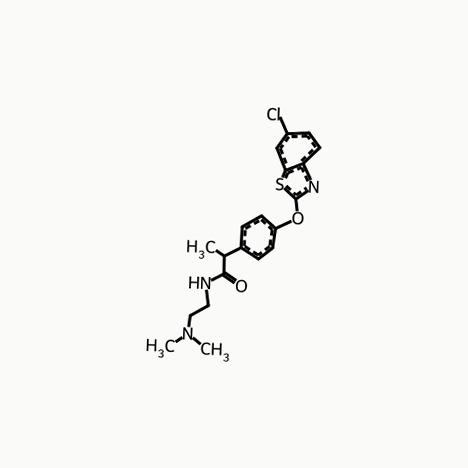 CC(C(=O)NCCN(C)C)c1ccc(Oc2nc3ccc(Cl)cc3s2)cc1